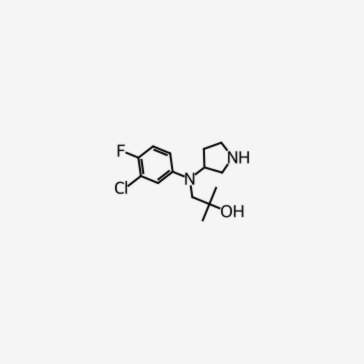 CC(C)(O)CN(c1ccc(F)c(Cl)c1)C1CCNC1